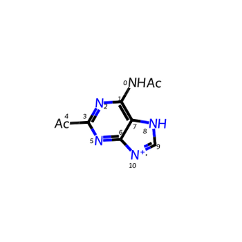 CC(=O)Nc1nc(C(C)=O)nc2c1NC=[N+]2